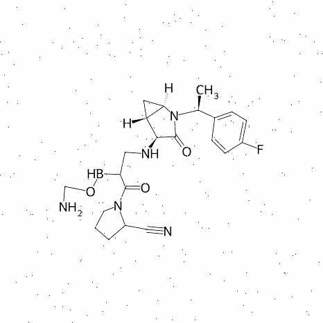 C[C@@H](c1ccc(F)cc1)N1C(=O)[C@@H](NCC(BOCN)C(=O)N2CCCC2C#N)[C@@H]2C[C@H]21